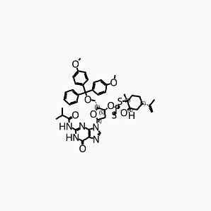 C=C(C)[C@H]1CC[C@@]2(C)SP(=S)(O[C@H]3C[C@H](n4cnc5c(=O)[nH]c(NC(=O)C(C)C)nc54)O[C@@H]3COC(c3ccccc3)(c3ccc(OC)cc3)c3ccc(OC)cc3)O[C@@H]2C1